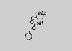 C=C(C)C[C@H](NC(=O)OCc1ccccc1)C(=O)OC